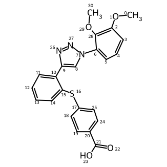 COc1cccc(-n2cc(-c3ccccc3Sc3ccc(C(=O)O)cc3)nn2)c1OC